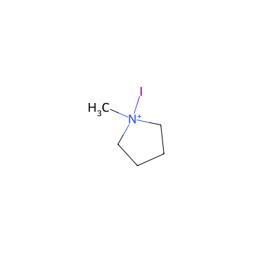 C[N+]1(I)CCCC1